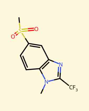 Cn1c(C(F)(F)F)nc2cc(S(C)(=O)=O)ccc21